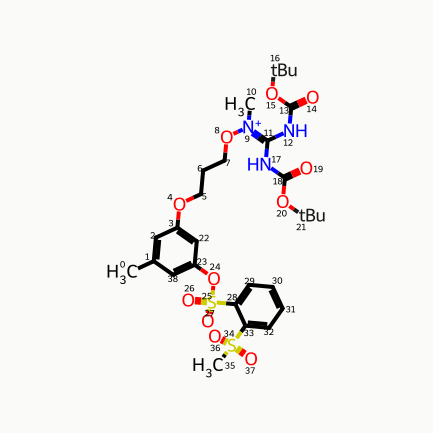 Cc1cc(OCCCO[N+](C)=C(NC(=O)OC(C)(C)C)NC(=O)OC(C)(C)C)cc(OS(=O)(=O)c2ccccc2S(C)(=O)=O)c1